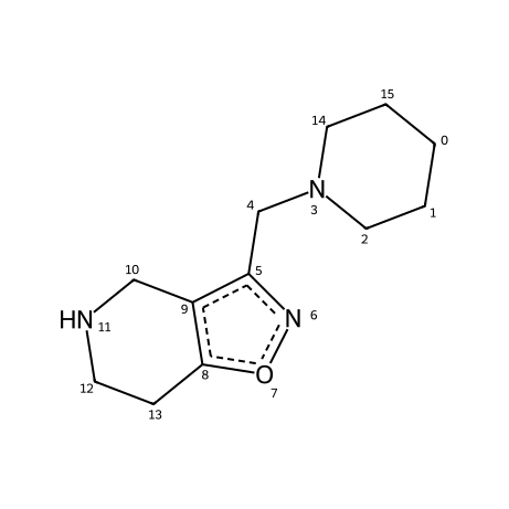 C1CCN(Cc2noc3c2CNCC3)CC1